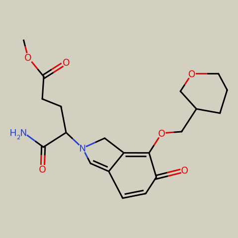 COC(=O)CCC(C(N)=O)N1C=C2C=CC(=O)C(OCC3CCCOC3)=C2C1